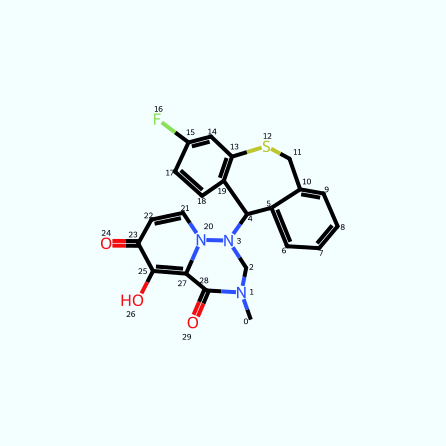 CN1CN(C2c3ccccc3CSc3cc(F)ccc32)n2ccc(=O)c(O)c2C1=O